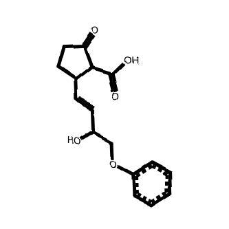 O=C(O)C1C(=O)CCC1C=CC(O)COc1ccccc1